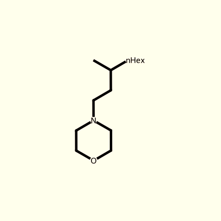 CCCCCCC(C)CCN1CCOCC1